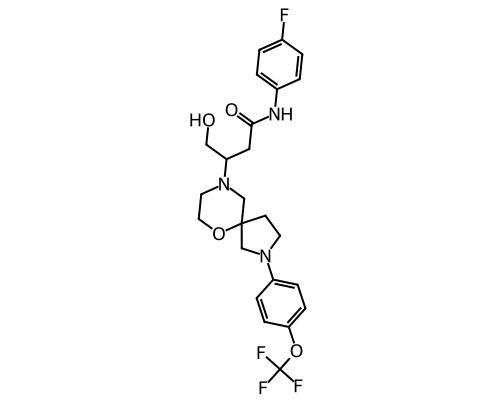 O=C(CC(CO)N1CCOC2(CCN(c3ccc(OC(F)(F)F)cc3)C2)C1)Nc1ccc(F)cc1